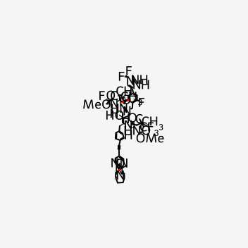 COC(=O)N[C@H](C(=O)N[C@@H](Cc1ccc(C#Cc2cnc(N3CC4CCC(C3)N4C3COC3)nc2)cc1)[C@@H](O)CN(Cc1c(F)cc(C2=CN(C(F)F)NN2)cc1F)NC(=O)[C@@H](NC(=O)OC)C(C)(C)C(F)(F)F)C(C)(C)C(F)(F)F